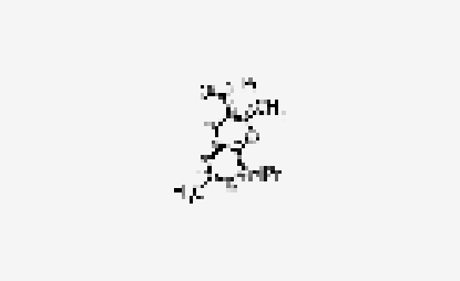 CCCC(=O)C1=C(C)Oc2c(cc(C)cc2C(C)C)C1